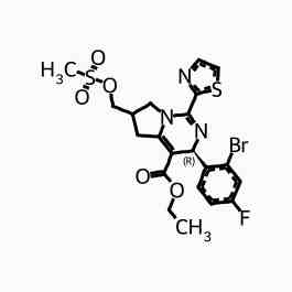 CCOC(=O)C1=C2CC(COS(C)(=O)=O)CN2C(c2nccs2)=N[C@H]1c1ccc(F)cc1Br